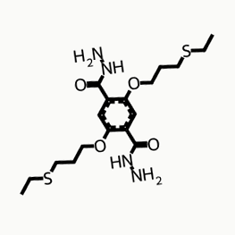 CCSCCCOc1cc(C(=O)NN)c(OCCCSCC)cc1C(=O)NN